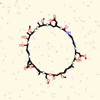 COCC1C/C(C)=C\C2OC(=O)C=C(C/C=C/C(O)CC(O)C(C)C(OC)CCC(C)C(OC)CC3CC(=CC(=O)O3)CC(=O)N/C=C\C=C\CC(CC(=O)OC)CC(O)C/C(C)=C\C=C\C(OC)CC(=O)O1)C2C